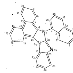 c1ccc2c(-n3c4c5ccccc5c5ccccc5c4n4c5ccccc5nc34)cccc2c1